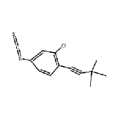 CC(C)(C)C#Cc1ccc(N=C=S)cc1Cl